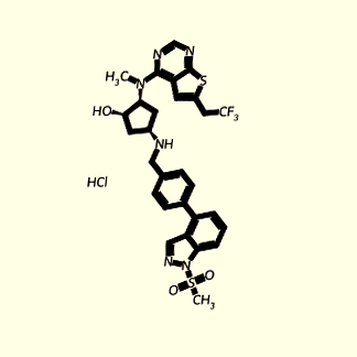 CN(c1ncnc2sc(CC(F)(F)F)cc12)[C@H]1C[C@@H](NCc2ccc(-c3cccc4c3cnn4S(C)(=O)=O)cc2)C[C@H]1O.Cl